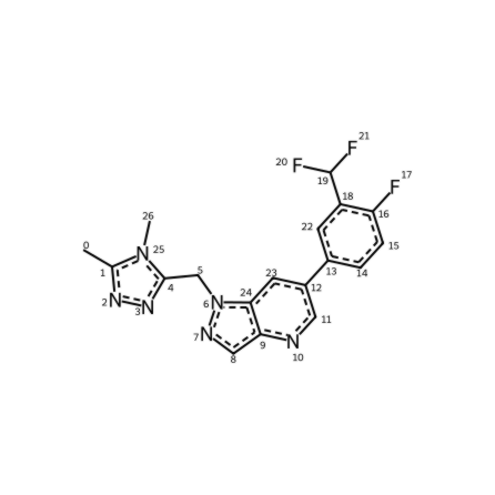 Cc1nnc(Cn2ncc3ncc(-c4ccc(F)c(C(F)F)c4)cc32)n1C